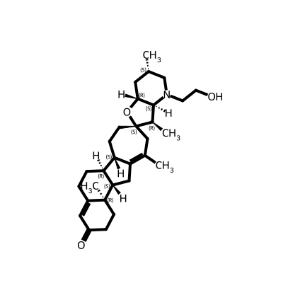 CC1=C2C[C@H]3[C@@H](CCC4=CC(=O)CC[C@@]43C)[C@@H]2CC[C@@]2(C1)O[C@@H]1C[C@H](C)CN(CCO)[C@H]1[C@H]2C